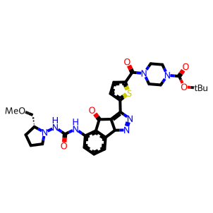 COC[C@H]1CCCN1NC(=O)Nc1cccc2c1C(=O)C1=C(c3ccc(C(=O)N4CCN(C(=O)OC(C)(C)C)CC4)s3)N=NC12